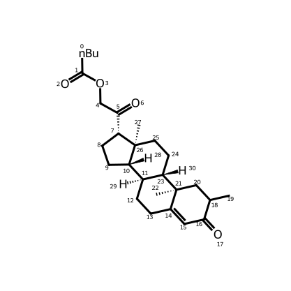 CCCCC(=O)OCC(=O)[C@H]1CC[C@H]2[C@@H]3CCC4=CC(=O)C(C)C[C@]4(C)[C@H]3CC[C@]12C